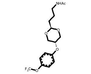 CC(=O)NCCC[C@H]1OC[C@H](Oc2ccc(OC(F)(F)F)cc2)CO1